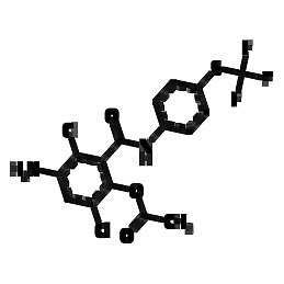 CC(=O)Oc1c(Cl)cc(N)c(Cl)c1C(=O)Nc1ccc(SC(F)(F)F)cc1